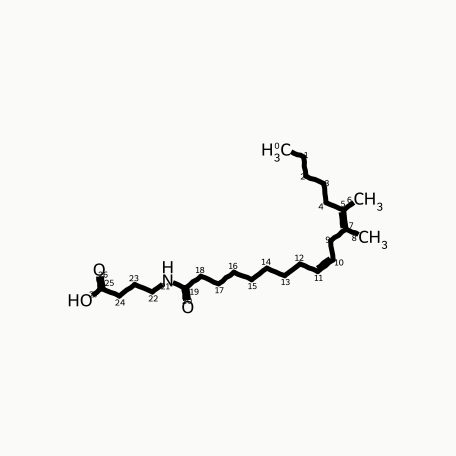 CCCCC/C(C)=C(/C)C/C=C\CCCCCCCC(=O)NCCCC(=O)O